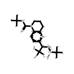 CC(C)(C)OC(=O)N1CCCc2nc(C(N[S@@+]([O-])C(C)(C)C)C(F)(F)F)ccc21